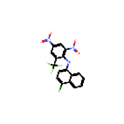 O=[N+]([O-])c1cc([N+](=O)[O-])c(Nc2ccc(Cl)c3ccccc23)c(C(F)(F)F)c1